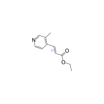 CCOC(=O)/C=C/c1ccncc1C